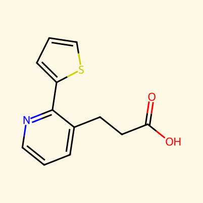 O=C(O)CCc1cccnc1-c1cccs1